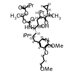 COCCCOc1cc(C[C@@H](C[C@H](NC(=O)OC(C)OC(=O)C(C)C)[C@@H](O)C[C@H](C(=O)N(C)C2CC2)C(C)C)C(C)C)cnc1OC